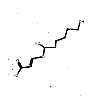 O=C(O)C=COC(O)CCCCCO